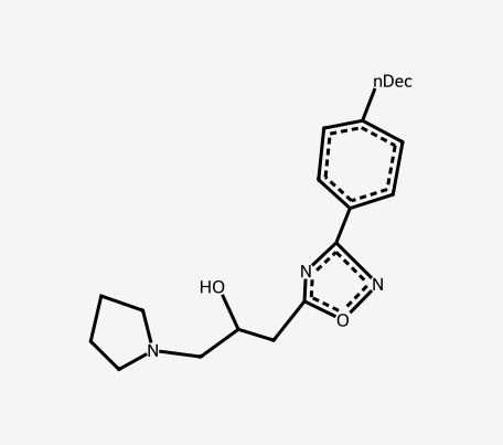 CCCCCCCCCCc1ccc(-c2noc(CC(O)CN3CCCC3)n2)cc1